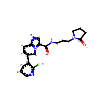 O=C(NCCCN1CCCC1=O)c1cnc2ccc(-c3cccnc3Cl)cn12